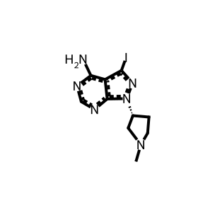 CN1CC[C@@H](n2nc(I)c3c(N)ncnc32)C1